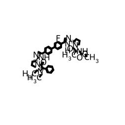 CCN(CC)[C@@H](C(=O)N1CCC[C@H]1c1ncc(-c2ccc(-c3ccc(-c4cnc([C@@H]5CCCN5C(=O)[C@H](C)NC(=O)OC)[nH]4)c(F)c3)cc2)[nH]1)c1ccccc1